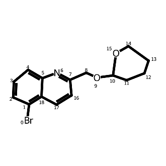 Brc1cccc2nc(COC3CCCCO3)ccc12